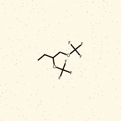 C[CH]C(COC(F)(F)F)OC(F)(F)F